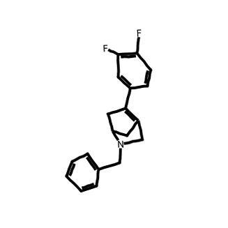 Fc1ccc(C2=C3CC(C2)N(Cc2ccccc2)C3)cc1F